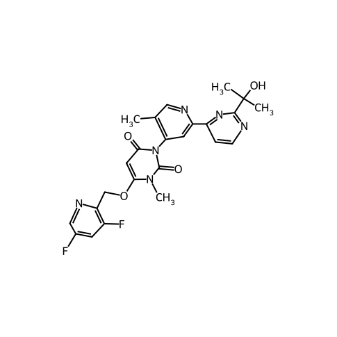 Cc1cnc(-c2ccnc(C(C)(C)O)n2)cc1-n1c(=O)cc(OCc2ncc(F)cc2F)n(C)c1=O